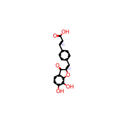 O=C(O)/C=C/c1ccc(/C=C2/Oc3c(ccc(O)c3O)C2=O)cc1